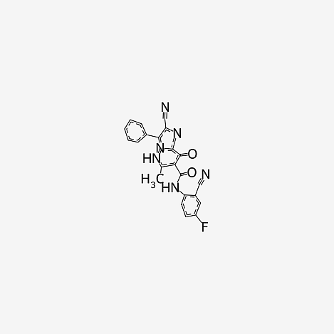 Cc1[nH]n2c(-c3ccccc3)c(C#N)nc2c(=O)c1C(=O)Nc1ccc(F)cc1C#N